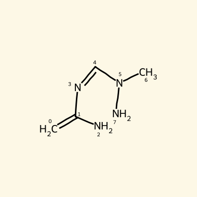 C=C(N)/N=C\N(C)N